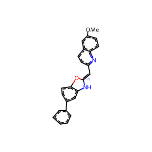 COc1ccc2nc(/C=C3/Nc4cc(-c5ccccc5)ccc4O3)ccc2c1